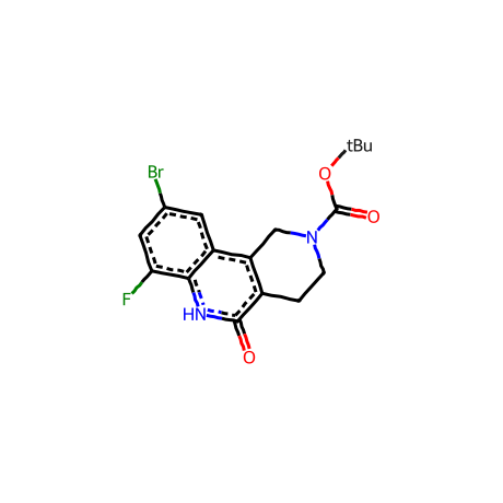 CC(C)(C)OC(=O)N1CCc2c(c3cc(Br)cc(F)c3[nH]c2=O)C1